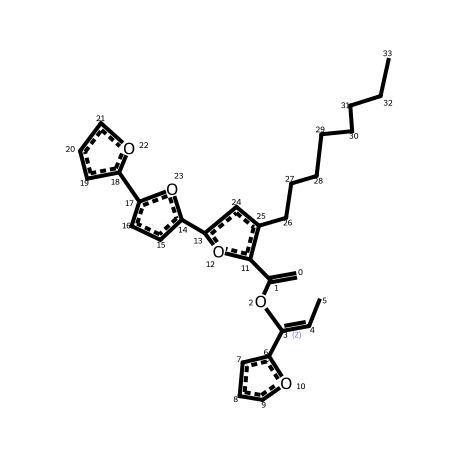 C=C(O/C(=C\C)c1ccco1)c1oc(-c2ccc(-c3ccco3)o2)cc1CCCCCCCC